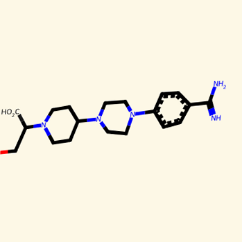 N=C(N)c1ccc(N2CCN(C3CCN(C(CO)C(=O)O)CC3)CC2)cc1